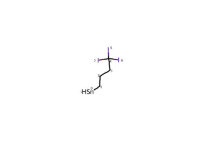 [SnH][CH2]CCC(I)(I)I